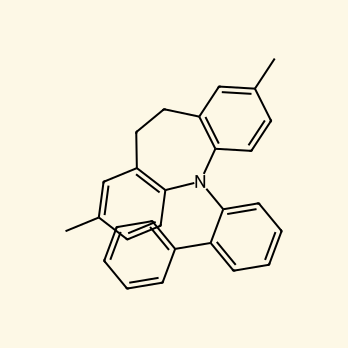 Cc1ccc2c(c1)CCc1cc(C)ccc1N2c1ccccc1-c1ccccc1